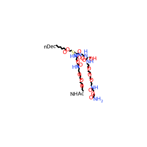 CCCCCCCCCCCCCCCC(=O)OCCSC[C@H](NC(=O)COCC(=O)NCCCOCCOCCOCCCNC(C)=O)C(=O)NCC(=O)N[C@H](CO)C(=O)NCCCOCCOCCOCCCNC(=O)COCC(N)=O